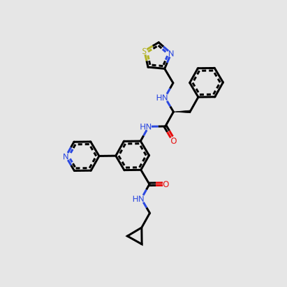 O=C(NCC1CC1)c1cc(NC(=O)[C@H](Cc2ccccc2)NCc2cscn2)cc(-c2ccncc2)c1